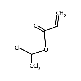 C=CC(=O)OC(Cl)C(Cl)(Cl)Cl